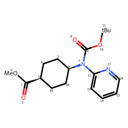 COC(=O)[C@H]1CC[C@@H](N(C(=O)OC(C)(C)C)c2ccccn2)CC1